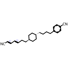 N#C/C=C/C=C/CC[C@H]1CC[C@H](CCCCc2ccc(C#N)cc2)CC1